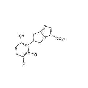 O=C(O)c1cnc2n1CC(c1c(O)ccc(Cl)c1Cl)C2